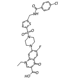 CCn1cc(C(=O)O)c(=O)c2cc(F)c(N3CCN(S(=O)(=O)c4ccc(CNC(=O)c5ccc(Cl)cc5)s4)CC3)cc21